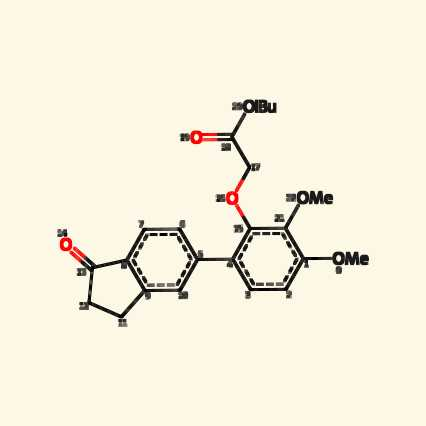 COc1ccc(-c2ccc3c(c2)CCC3=O)c(OCC(=O)OCC(C)C)c1OC